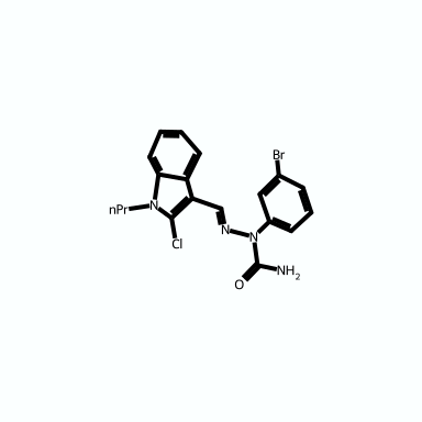 CCCn1c(Cl)c(C=NN(C(N)=O)c2cccc(Br)c2)c2ccccc21